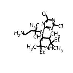 CCC1(C)CC(N(c2nc(Cl)nc(Cl)n2)C(C)(C)CCN)C(C)C(C)(CC)N1